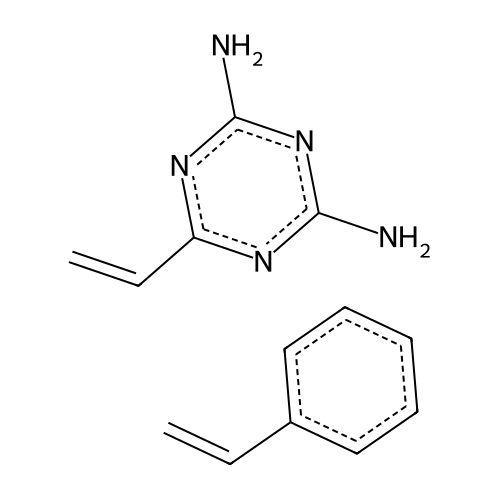 C=Cc1ccccc1.C=Cc1nc(N)nc(N)n1